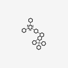 c1ccc(-c2nc(-c3ccccc3)nc(-c3ccc(-c4cccc5cc6c(cc45)-c4ccccc4C6(c4ccccc4)c4ccccc4)cc3)n2)cc1